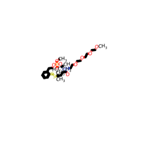 COCCOCCOCCOCCNC(=O)CCC(C)(C)SSc1ccccc1CCOP(=O)(OC)OC(C)(C)C